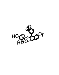 CC(C)Oc1ccc2c(c1)C(c1ccc3c(c1)OCO3)[C@H](CO[C@@H]1OC[C@@H](O)[C@H](C)[C@H]1O)[C@@H](CO)C2